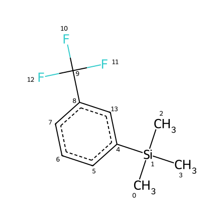 C[Si](C)(C)c1cccc(C(F)(F)F)c1